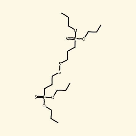 CCCOP(=S)(CCCSSCCCP(=S)(OCCC)OCCC)OCCC